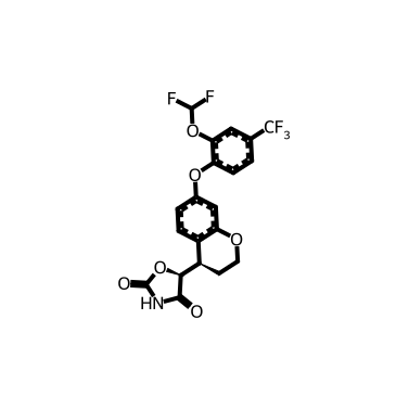 O=C1NC(=O)[C@H]([C@@H]2CCOc3cc(Oc4ccc(C(F)(F)F)cc4OC(F)F)ccc32)O1